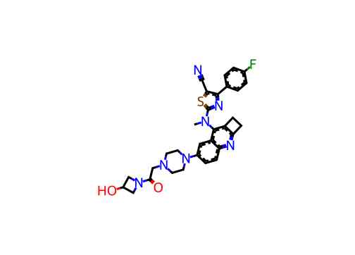 CN(c1nc(-c2ccc(F)cc2)c(C#N)s1)c1c2c(nc3ccc(N4CCN(CC(=O)N5CC(O)C5)CC4)cc13)CC2